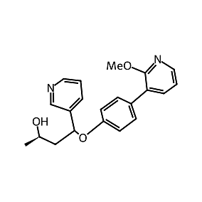 COc1ncccc1-c1ccc(OC(C[C@@H](C)O)c2cccnc2)cc1